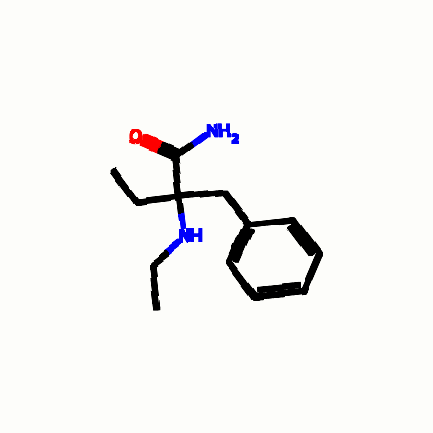 CCNC(CC)(Cc1ccccc1)C(N)=O